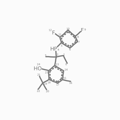 CCC(C)(Pc1ccc(F)cc1F)c1cc(C)cc(C(C)(C)C)c1O